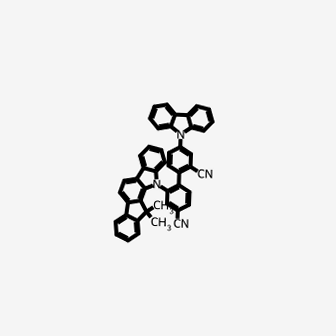 CC1(C)c2ccccc2-c2ccc3c4ccccc4n(-c4cc(C#N)ccc4-c4ccc(-n5c6ccccc6c6ccccc65)cc4C#N)c3c21